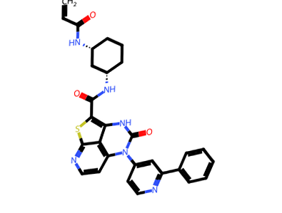 C=CC(=O)N[C@@H]1CCC[C@H](NC(=O)c2sc3nccc4c3c2NC(=O)N4c2ccnc(-c3ccccc3)c2)C1